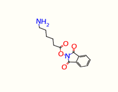 NCCCCCC(=O)ON1C(=O)c2ccccc2C1=O